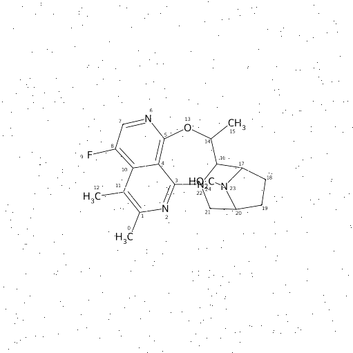 Cc1nc2c3c(ncc(F)c3c1C)OC(C)C1C3CCC(CN21)N3C(=O)O